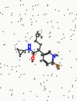 O=C(NC1CC1)C(CCC(F)(F)F)c1ccc(Br)nc1